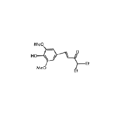 CCC(CC)C(=O)/C=C/c1cc(OC)c(O)c(OC)c1